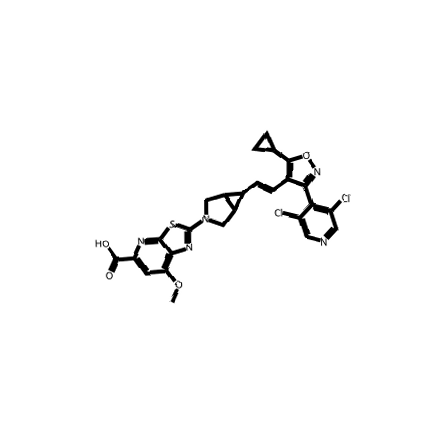 COc1cc(C(=O)O)nc2sc(N3CC4C(C=Cc5c(-c6c(Cl)cncc6Cl)noc5C5CC5)C4C3)nc12